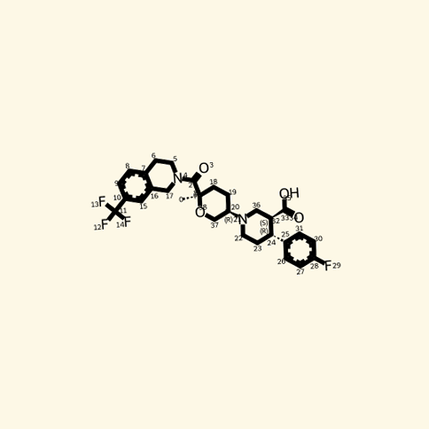 C[C@]1(C(=O)N2CCc3ccc(C(F)(F)F)cc3C2)CC[C@@H](N2CC[C@@H](c3ccc(F)cc3)[C@H](C(=O)O)C2)CO1